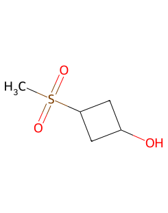 CS(=O)(=O)C1CC(O)C1